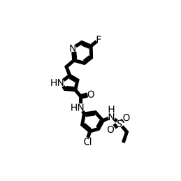 CCS(=O)(=O)Nc1cc(Cl)cc(NC(=O)c2c[nH]c(Cc3ccc(F)cn3)c2)c1